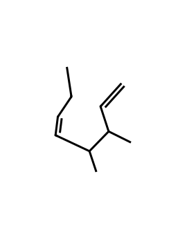 C=CC(C)C(C)/C=C\CC